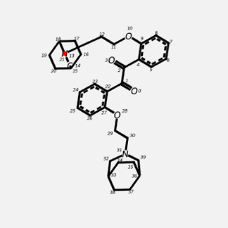 O=C(C(=O)c1ccccc1OCCN1CC2CCC(CC2)C1)c1ccccc1OCCN1CC2CCC(CC2)C1